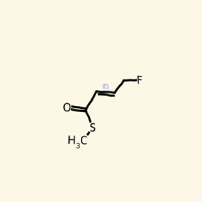 CSC(=O)/C=C/CF